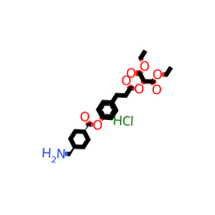 CCOC(=O)C(OC(=O)CCc1ccc(OC(=O)[C@H]2CC[C@H](CN)CC2)cc1)C(=O)OCC.Cl